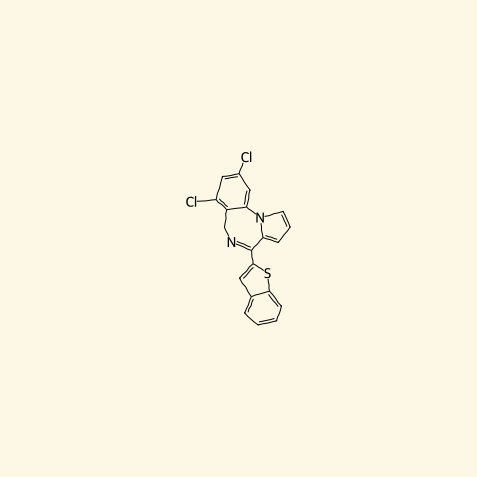 Clc1cc(Cl)c2c(c1)-n1cccc1C(c1cc3ccccc3s1)=NC2